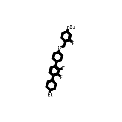 CCCCC1C=C(F)C(COC2CCC(c3ccc(C4CCC(CC)CC4)c(F)c3F)CC2)CC1